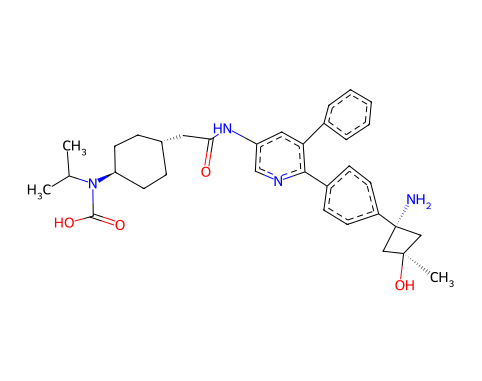 CC(C)N(C(=O)O)[C@H]1CC[C@H](CC(=O)Nc2cnc(-c3ccc([C@]4(N)C[C@](C)(O)C4)cc3)c(-c3ccccc3)c2)CC1